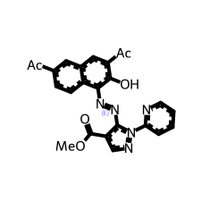 COC(=O)c1cnn(-c2ccccn2)c1/N=N/c1c(O)c(C(C)=O)cc2cc(C(C)=O)ccc12